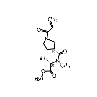 C=CC(=O)N1CC[C@@H](C(=O)N(C)[C@H](C(=O)OC(C)(C)C)C(C)C)C1